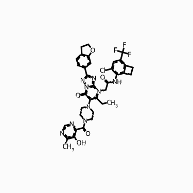 CCc1c(N2CCN(C(=O)c3ncnc(C)c3O)CC2)c(=O)n2nc(-c3ccc4c(c3)OCC4)nc2n1CC(=O)Nc1c(Cl)cc(C(F)(F)F)c2c1CC2